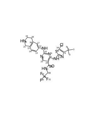 CC(C)(C)c1nc(Nc2nc(Nc3ccc4c(c3)CCNC4)ncc2C(=O)NCC(F)(F)F)sc1Cl